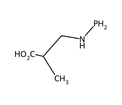 CC(CNP)C(=O)O